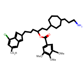 COc1cc(C(=O)OC(CCCC2C=c3cc(C(=O)O)cc(Cl)c3=C2)CCC2CCCC(CCCN)CC2)cc(OC)c1OC